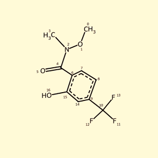 CON(C)C(=O)c1ccc(C(F)(F)F)cc1O